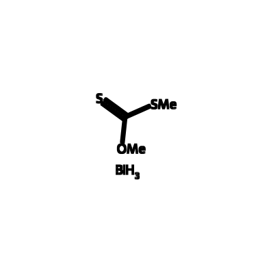 COC(=S)SC.[BiH3]